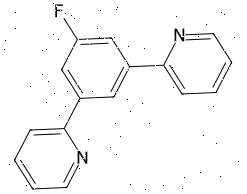 Fc1cc(-c2ccccn2)cc(-c2ccccn2)c1